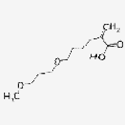 C=C(CCCCOCCCOC)C(=O)O